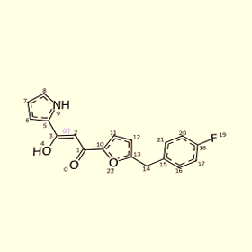 O=C(/C=C(\O)c1ccc[nH]1)c1ccc(Cc2ccc(F)cc2)o1